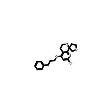 Clc1cc(OCCCc2ccccc2)c2c(n1)C1(CCOC1)OCC2